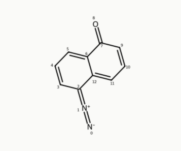 [N-]=[N+]=C1C=CC=C2C(=O)C=CC=C21